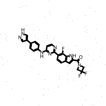 O=C(c1cc2ccc(-c3nccc(Nc4ccc(-c5cn[nH]c5)cc4)n3)c(F)c2[nH]1)N1CC(F)(F)C1